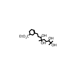 CCOC(=O)C1CCC=C(CCC(O)C(C)(O)CCC(O)C(C)(C)O)C1